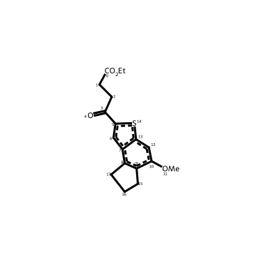 CCOC(=O)CCC(=O)c1cc2c3c(c(OC)cc2s1)CCC3